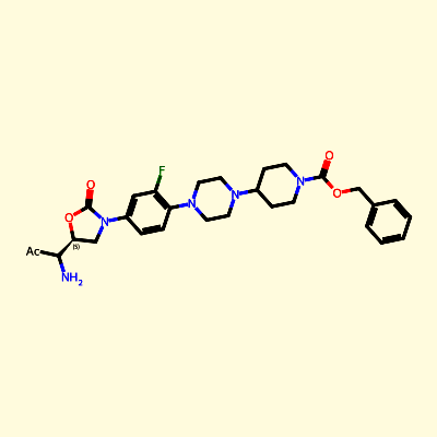 CC(=O)C(N)[C@@H]1CN(c2ccc(N3CCN(C4CCN(C(=O)OCc5ccccc5)CC4)CC3)c(F)c2)C(=O)O1